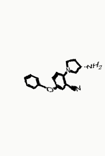 N#Cc1cc(Oc2ccccc2)ccc1N1CC[C@H](N)C1